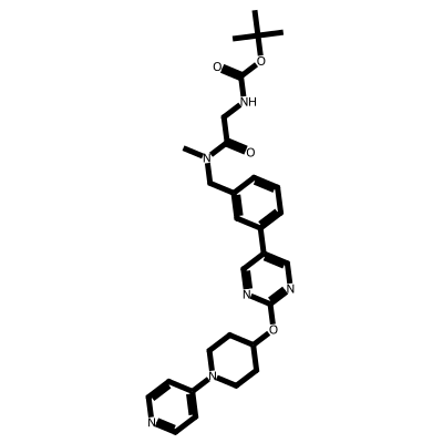 CN(Cc1cccc(-c2cnc(OC3CCN(c4ccncc4)CC3)nc2)c1)C(=O)CNC(=O)OC(C)(C)C